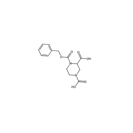 O=C(O)C1CN(C(=O)O)CCN1C(=O)OCc1ccccc1